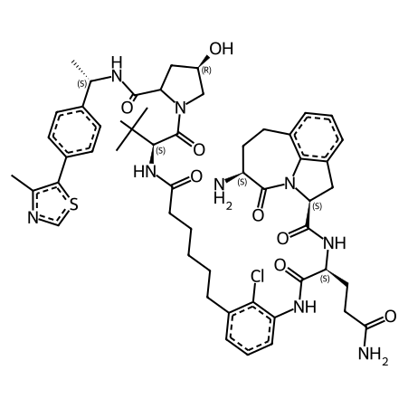 Cc1ncsc1-c1ccc([C@H](C)NC(=O)C2C[C@@H](O)CN2C(=O)[C@@H](NC(=O)CCCCCc2cccc(NC(=O)[C@H](CCC(N)=O)NC(=O)[C@@H]3Cc4cccc5c4N3C(=O)[C@@H](N)CC5)c2Cl)C(C)(C)C)cc1